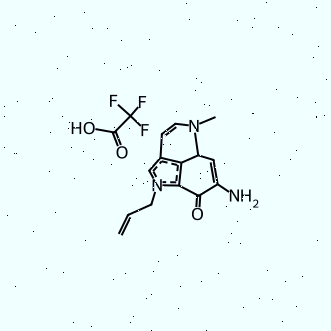 C=CCn1cc2c3c1C(=O)C(N)=CC3N(C)C=C2.O=C(O)C(F)(F)F